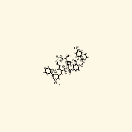 C=CCC(C)C(CC(COC)OC(=O)c1ccccc1)S(=O)(=O)NC(=O)c1ccc2c(c1)N(C[C@@H]1CC[C@H]1C(O)C=C)C[C@@]1(CCCc3cc(Cl)ccc31)CO2